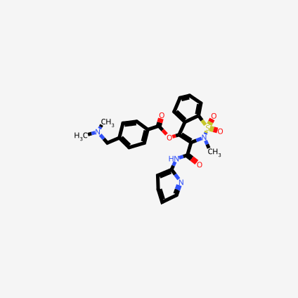 CN(C)Cc1ccc(C(=O)OC2=C(C(=O)Nc3ccccn3)N(C)S(=O)(=O)c3ccccc32)cc1